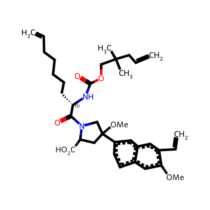 C=CCCCCC[C@H](NC(=O)OCC(C)(C)CC=C)C(=O)N1CC(OC)(c2ccc3cc(OC)c(C=C)cc3c2)CC1C(=O)O